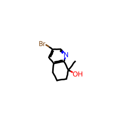 CC1(O)CCCc2cc(Br)cnc21